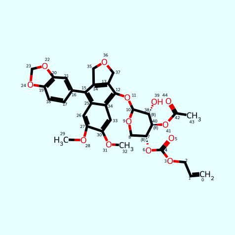 C=CCOC(=O)O[C@@H]1COC(Oc2c3c(c(-c4ccc5c(c4)OCO5)c4cc(OC)c(OC)cc24)COC3)[C@H](O)[C@H]1OC(C)=O